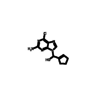 Nc1nc(Cl)c2ncn(C(O)C3=CCCC3)c2n1